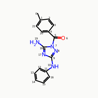 Cc1ccc(C(=O)n2nc(Nc3ccccc3)nc2N)cc1